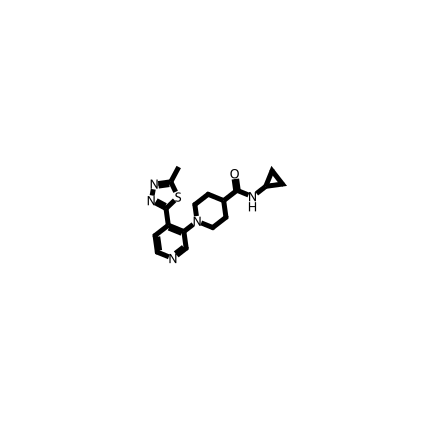 Cc1nnc(-c2ccncc2N2CCC(C(=O)NC3CC3)CC2)s1